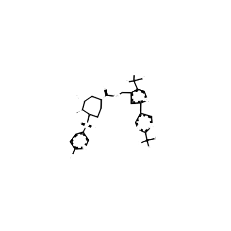 C[C@@H]1C(S(=O)(=O)c2ccc(F)nc2)CC[C@H](C(=O)NCc2cc(-c3cnc(C(F)(F)F)nc3)ncc2C(F)(F)F)C[C@H]1F